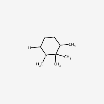 [Li][CH]1CCC(C)C(C)(C)N1C